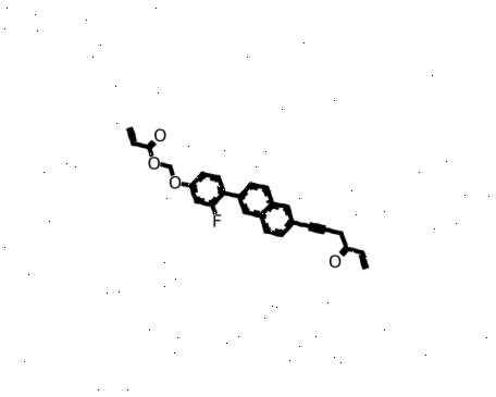 C=CC(=O)CC#Cc1ccc2cc(-c3ccc(OCOC(=O)C=C)cc3F)ccc2c1